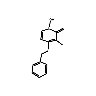 C=C1C(C)=C(OCc2ccccc2)C=CN1O